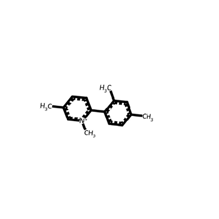 Cc1ccc(-c2ccc(C)c[n+]2C)c(C)c1